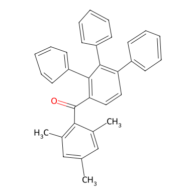 Cc1cc(C)c(C(=O)c2ccc(-c3ccccc3)c(-c3ccccc3)c2-c2ccccc2)c(C)c1